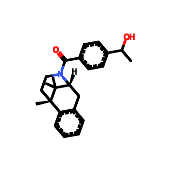 CC(O)c1ccc(C(=O)N2CC[C@@]3(C)c4ccccc4C[C@@H]2C3(C)C)cc1